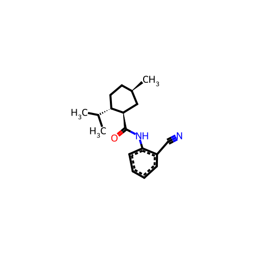 CC(C)[C@@H]1CC[C@@H](C)C[C@H]1C(=O)Nc1ccccc1C#N